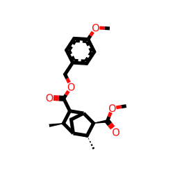 COC(=O)[C@@H]1C2CC([C@@H](C)C2C(=O)OCc2ccc(OC)cc2)[C@H]1C